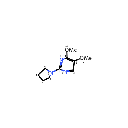 COc1cnc(N2CCCC2)nc1OC